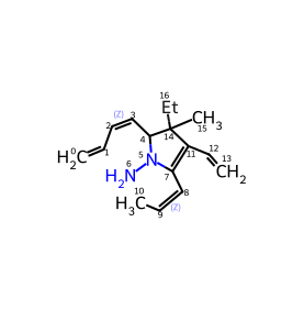 C=C/C=C\C1N(N)C(/C=C\C)=C(C=C)C1(C)CC